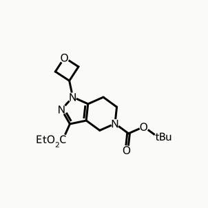 CCOC(=O)c1nn(C2COC2)c2c1CN(C(=O)OC(C)(C)C)CC2